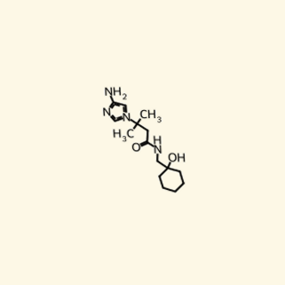 CC(C)(CC(=O)NCC1(O)CCCCC1)n1cnc(N)c1